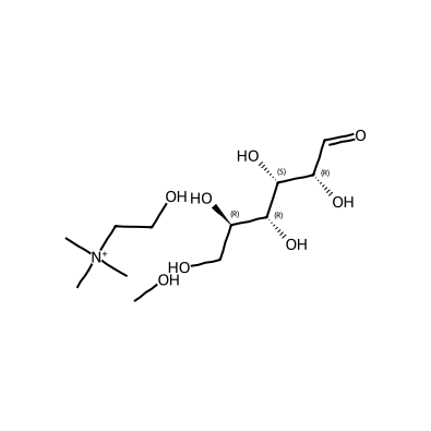 CO.C[N+](C)(C)CCO.O=C[C@H](O)[C@@H](O)[C@H](O)[C@H](O)CO